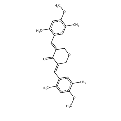 COc1cc(C)c(C=C2COCC(=Cc3cc(C)c(OC)cc3C)C2=O)cc1C